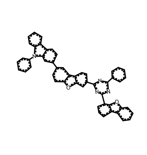 c1ccc(-c2nc(-c3ccc4c(c3)oc3ccc(-c5ccc6c7ccccc7n(-c7ccccc7)c6c5)cc34)nc(-c3cccc4c3oc3ccccc34)n2)cc1